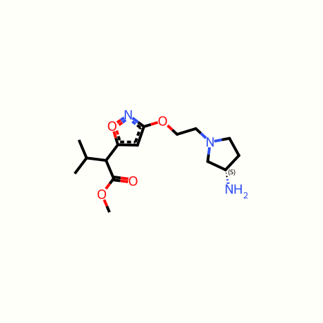 COC(=O)C(c1cc(OCCN2CC[C@H](N)C2)no1)C(C)C